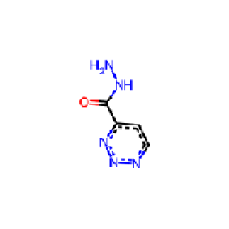 NNC(=O)c1ccnnn1